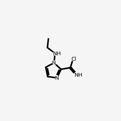 CCNn1ccnc1C(=N)Cl